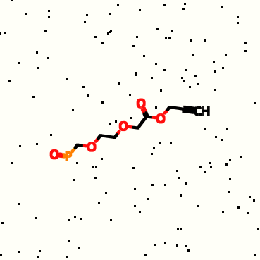 C#CCOC(=O)COCCOCP=O